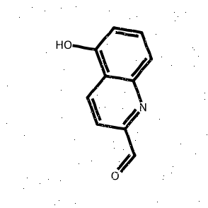 O=Cc1ccc2c(O)cccc2n1